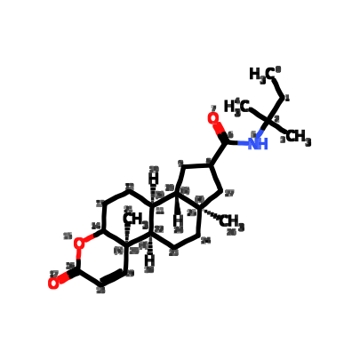 CCC(C)(C)NC(=O)C1C[C@H]2[C@@H]3CCC4OC(=O)C=C[C@]4(C)[C@@H]3CC[C@]2(C)C1